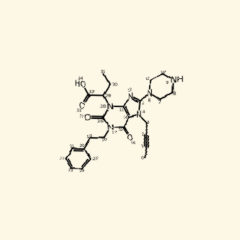 CC#CCn1c(N2CCNCC2)nc2c1c(=O)n(CCc1ccccc1)c(=O)n2C(CC)C(=O)O